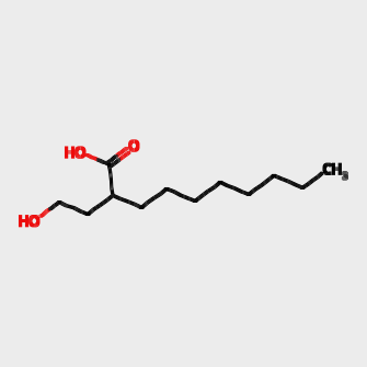 CCCCCCCCC(CCO)C(=O)O